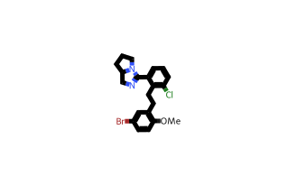 COc1ccc(Br)cc1CCc1c(Cl)cccc1C1=NCC2CCCN12